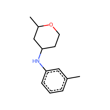 Cc1cccc(NC2CCOC(C)C2)c1